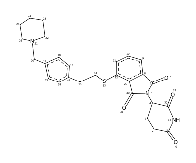 O=C1CCC(N2C(=O)c3cccc(SCCc4ccc(CN5CCCCC5)cc4)c3C2=O)C(=O)N1